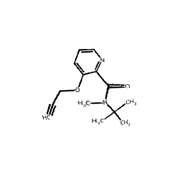 C#CCOc1cccnc1C(=O)N(C)C(C)(C)C